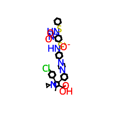 Cc1c(C(=O)O)c(-c2cccc(N3CCN(c4ccc(N[S+]([O-])c5ccc(NSc6ccccc6)c([N+](=O)[O-])c5)cc4)CC3)c2)c(-c2ccc(Cl)cc2)n1C1CC1